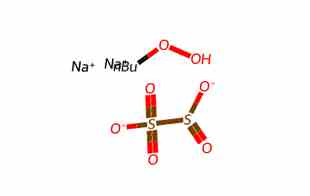 CCCCOO.O=S([O-])S(=O)(=O)[O-].[Na+].[Na+]